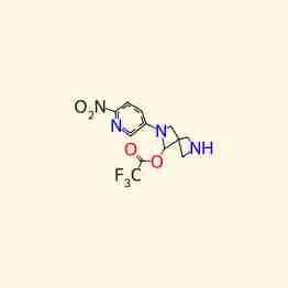 O=C(OC1N(c2ccc([N+](=O)[O-])nc2)CC12CNC2)C(F)(F)F